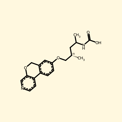 CC(C[C@H](C)COc1ccc2c(c1)COc1cnccc1-2)NC(=O)O